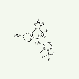 Cc1c(NC(=O)C2C3CC(O)C(O3)C2c2cn(C)nc2C(F)(F)F)cccc1C(F)(F)F